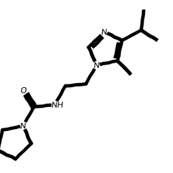 Cc1c(C(C)C)ncn1CCNC(=O)N1CCCC1